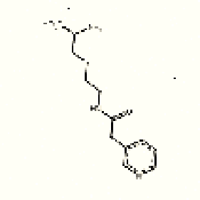 N[C@@H](CCCCNC(=O)Cc1cccnc1)C(=O)O